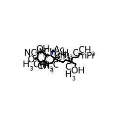 CCCC(C)(C)CC[C@](C)(CO)CCC(C)(C)[C@]1(C)CC[C@H]2C(C)(C)C(=O)[C@]3(C#N)O[C@@H]3[C@]2(C)/C1=C/C(C)=O